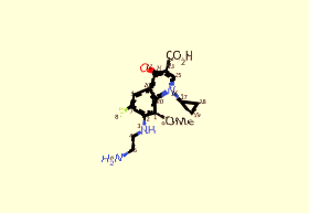 COc1c(NCCN)c(F)cc2c(=O)c(C(=O)O)cn(C3CC3)c12